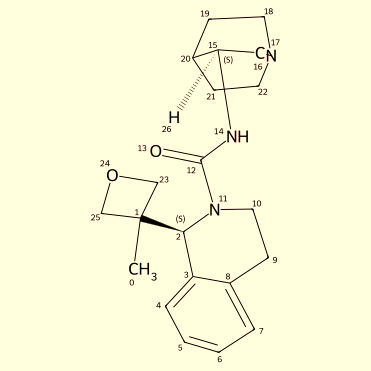 CC1([C@@H]2c3ccccc3CCN2C(=O)N[C@@H]2CN3CCC2CC3)COC1